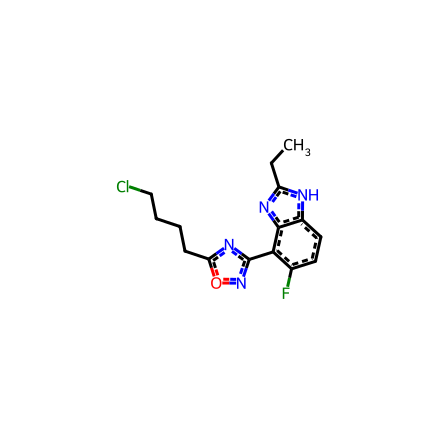 CCc1nc2c(-c3noc(CCCCCl)n3)c(F)ccc2[nH]1